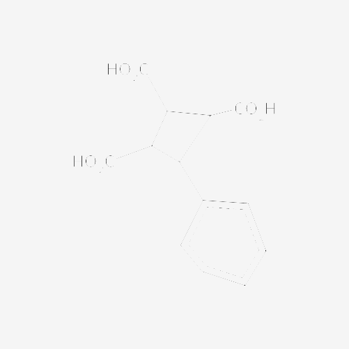 O=C(O)C1C(C(=O)O)C(c2ccccc2)C1C(=O)O